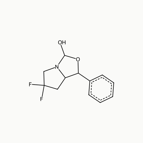 OC1OC(c2ccccc2)C2CC(F)(F)CN12